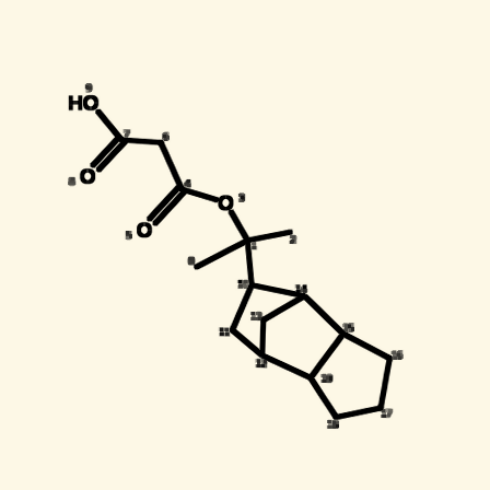 CC(C)(OC(=O)CC(=O)O)C1CC2CC1C1CCCC21